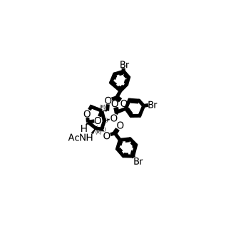 CC(=O)N[C@H]1[C@H]2OC[C@](COC(=O)c3ccc(Br)cc3)(O2)[C@H](OC(=O)C2=CCC(Br)C=C2)[C@@H]1OC(=O)c1ccc(Br)cc1